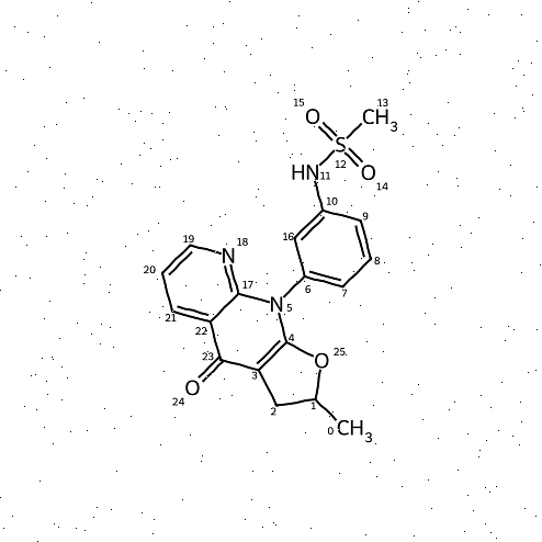 CC1Cc2c(n(-c3cccc(NS(C)(=O)=O)c3)c3ncccc3c2=O)O1